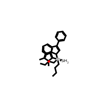 CCC[CH2][Zr](=[SiH2])([CH2]CCC)([C]1=C(C)C(C)=C(C)C1C)[CH]1C=C(c2ccccc2)c2ccccc21